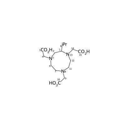 CC(C)C1CN(CC(=O)O)CCN(CC(=O)O)CCN1CC(=O)O